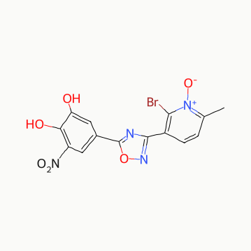 Cc1ccc(-c2noc(-c3cc(O)c(O)c([N+](=O)[O-])c3)n2)c(Br)[n+]1[O-]